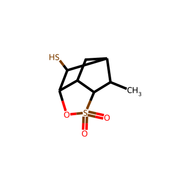 CC1C2CC3C(OS(=O)(=O)C13)C2S